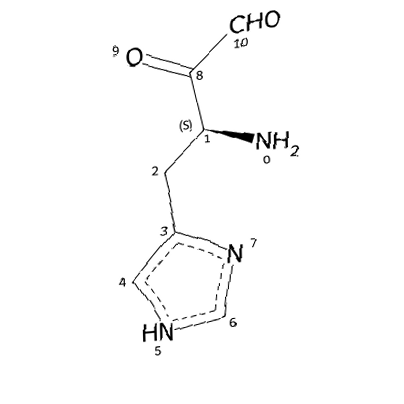 N[C@@H](Cc1c[nH]cn1)C(=O)C=O